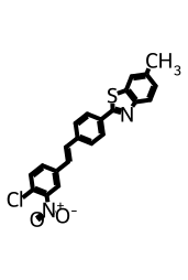 Cc1ccc2nc(-c3ccc(/C=C/c4ccc(Cl)c([N+](=O)[O-])c4)cc3)sc2c1